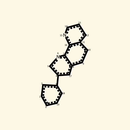 [c]1ccc(-c2cnc3c(ccc4cccnc43)c2)cc1